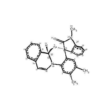 Cc1cc2c(cc1C)[C@@]1(O[C@H]3c4ccccc4C=CN23)C(=O)N(C)c2ccccc21